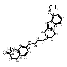 COc1cccc2c1cc1n2CCN(CCCOc2ccc3c(c2)NC(=O)CC3)C1